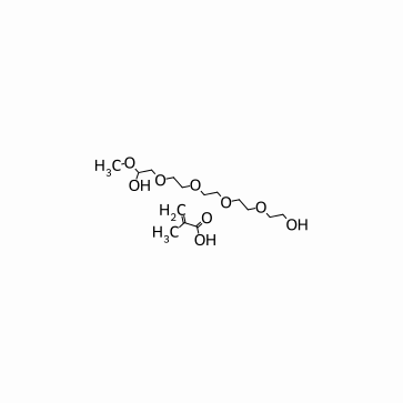 C=C(C)C(=O)O.COC(O)COCCOCCOCCOCCO